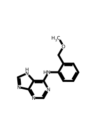 COCc1ccccc1Nc1ncnc2nc[nH]c12